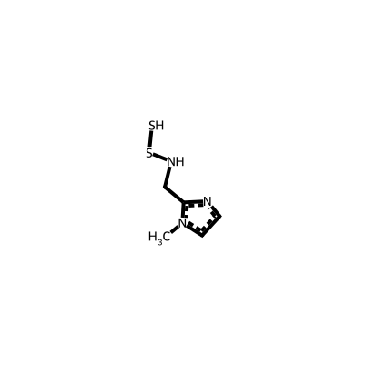 Cn1ccnc1CNSS